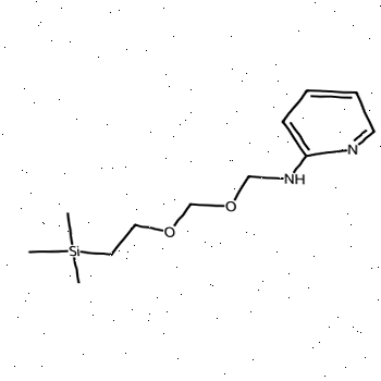 C[Si](C)(C)CCOCOCNc1ccccn1